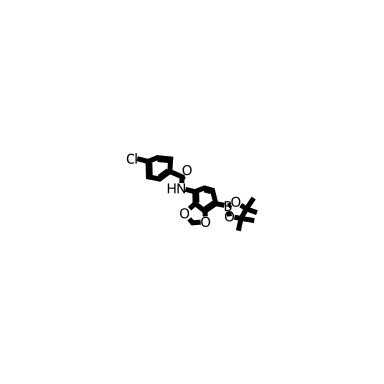 CC1(C)OB(c2ccc(NC(=O)c3ccc(Cl)cc3)c3c2OCO3)OC1(C)C